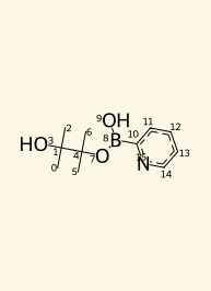 CC(C)(O)C(C)(C)OB(O)c1ccccn1